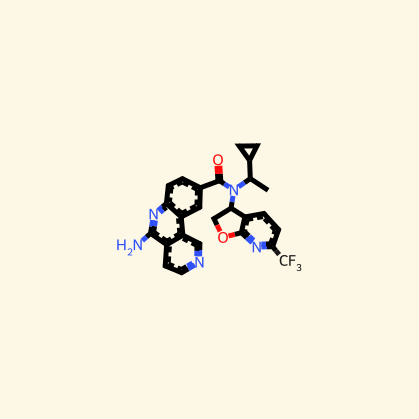 CC(C1CC1)N(C(=O)c1ccc2nc(N)c3ccncc3c2c1)C1COc2nc(C(F)(F)F)ccc21